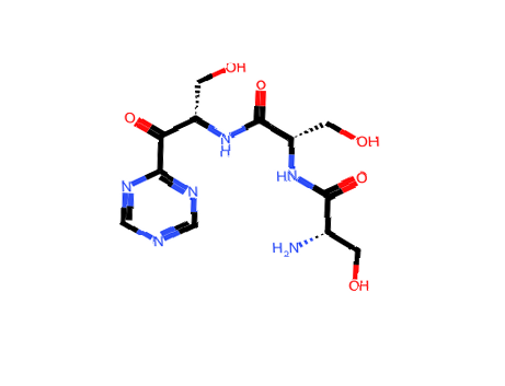 N[C@@H](CO)C(=O)N[C@@H](CO)C(=O)N[C@@H](CO)C(=O)c1ncncn1